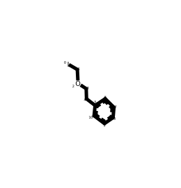 ICOCCc1ccccc1